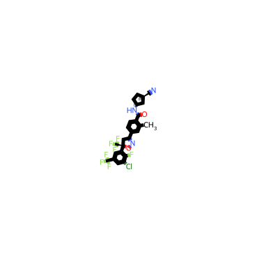 Cc1cc(C2=NO[C@@](c3cc(C(F)(F)F)cc(Cl)c3F)(C(F)(F)F)C2)ccc1C(=O)N[C@H]1CC[C@@H](C#N)C1